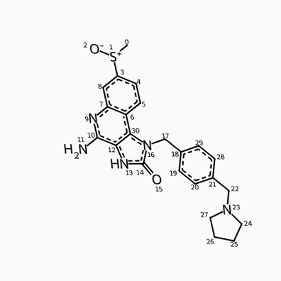 C[S+]([O-])c1ccc2c(c1)nc(N)c1[nH]c(=O)n(Cc3ccc(CN4CCCC4)cc3)c12